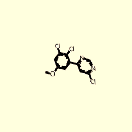 COc1cc(Cl)c(Cl)c(-c2cc(Cl)ncn2)c1